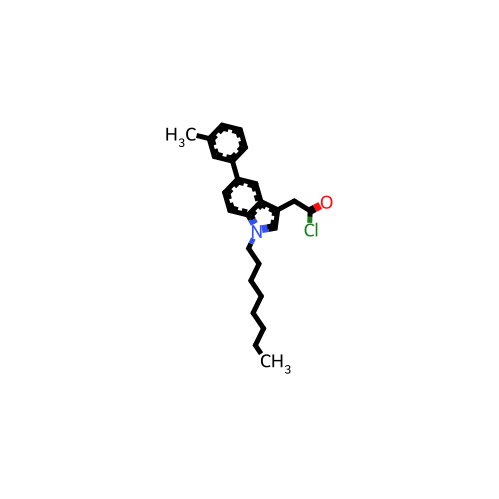 CCCCCCCCn1cc(CC(=O)Cl)c2cc(-c3cccc(C)c3)ccc21